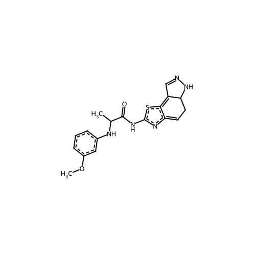 COc1cccc(NC(C)C(=O)Nc2nc3c(s2)=C2C=NNC2CC=3)c1